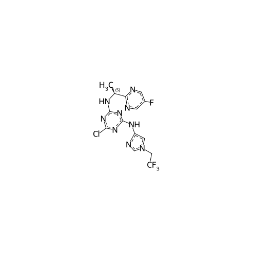 C[C@H](Nc1nc(Cl)nc(Nc2cn(CC(F)(F)F)cn2)n1)c1ncc(F)cn1